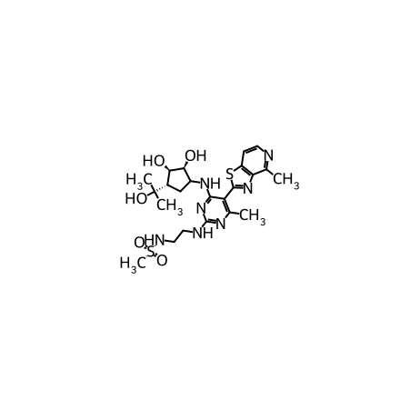 Cc1nc(NCCNS(C)(=O)=O)nc(NC2C[C@H](C(C)(C)O)[C@@H](O)[C@H]2O)c1-c1nc2c(C)nccc2s1